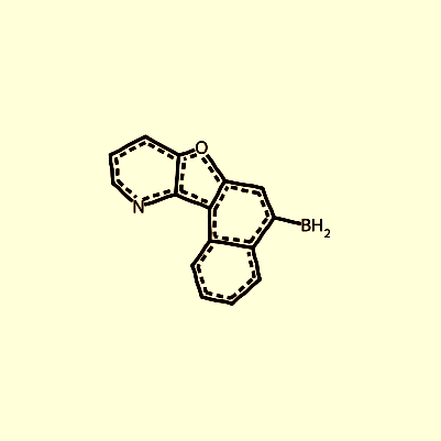 Bc1cc2oc3cccnc3c2c2ccccc12